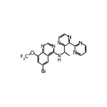 CC(Nc1ncnc2c(OC(F)(F)F)cc(Br)cc12)c1nccnc1-c1ncccn1